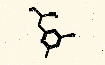 CCCc1cc(C)nc(CC(N)CCC)c1